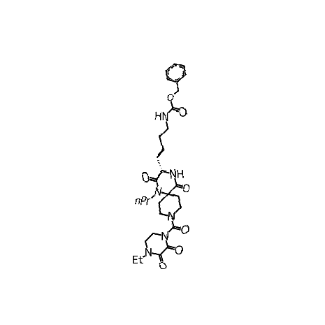 CCCN1C(=O)[C@H](CCCCNC(=O)OCc2ccccc2)NC(=O)C12CCN(C(=O)N1CCN(CC)C(=O)C1=O)CC2